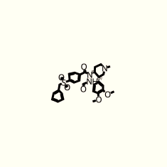 COc1ccc([C@H]2CN(C)CC[C@H]2N(NC=O)C(=O)c2ccc(S(=O)(=O)Cc3ccccc3)cc2)cc1OC